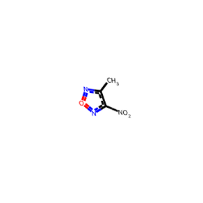 Cc1nonc1[N+](=O)[O-]